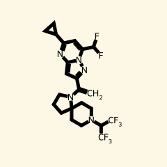 C=C(c1cc2nc(C3CC3)cc(C(F)F)n2n1)N1CCCC12CCN(C(C(F)(F)F)C(F)(F)F)CC2